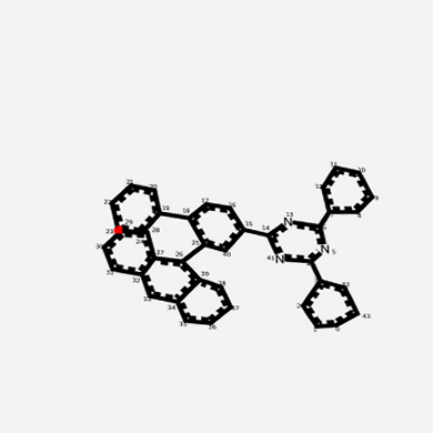 c1ccc(-c2nc(-c3ccccc3)nc(-c3ccc(-c4ccccc4)c(-c4c5ccccc5cc5ccccc45)c3)n2)cc1